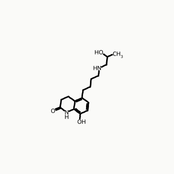 CC(O)CNCCCCc1ccc(O)c2c1CCC(=O)N2